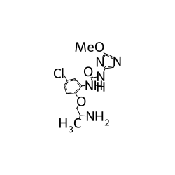 COc1cncc(NC(=O)Nc2cc(Cl)ccc2OCC(C)N)n1